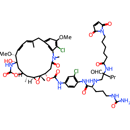 COc1cc2cc(c1Cl)N(C)C(=O)C[C@H](OC(=O)Nc1ccc(NC(=O)[C@H](CCCNC(N)=O)NC[C@](C=O)(NC(=O)CCCCCN3C(=O)C=CC3=O)C(C)C)c(Cl)c1)[C@]1(C)O[C@H]1[C@H](C)[C@@H]1C[C@@](O)(NC(=O)O1)[C@H](OC)/C=C/C=C(\C)C2